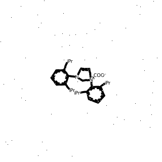 CC(C)c1cccc(C(C)C)c1N1C=C[N+](C(=O)[O-])(c2c(C(C)C)cccc2C(C)C)C1